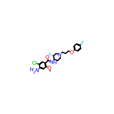 COc1cc(N)c(Cl)cc1C(=O)N[C@@H]1CCN(CCCOc2ccc(F)cc2)C[C@@H]1F